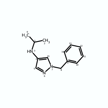 CC(C)Nc1cnn(Cc2ccccc2)c1